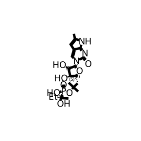 CC[C@](C)(O)P(=O)(O)OC(C)(C)C[C@H]1O[C@@H](n2cc3cc(C)[nH]c3nc2=O)[C@H](O)[C@@H]1O